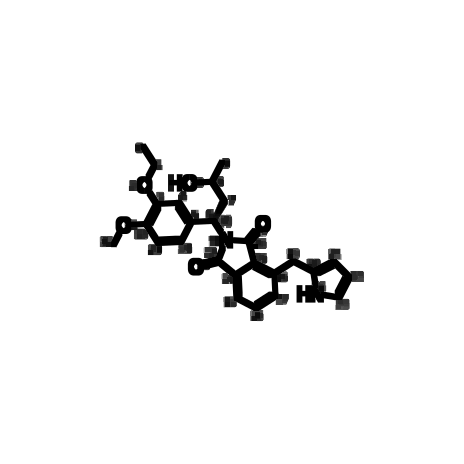 CCOc1cc([C@@H](CC(C)O)N2C(=O)c3cccc(Cc4ccc[nH]4)c3C2=O)ccc1OC